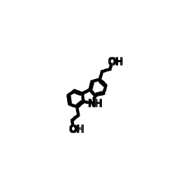 OCCc1ccc2[nH]c3c(CCO)cccc3c2c1